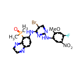 COc1cc(F)c([N+](=O)[O-])cc1Nc1ncc(Br)c(Nc2ccc3nccnc3c2P(C)(C)=O)n1